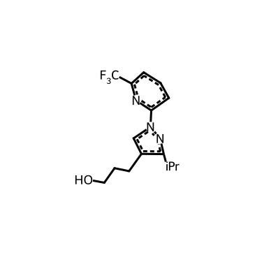 CC(C)c1nn(-c2cccc(C(F)(F)F)n2)cc1CCCO